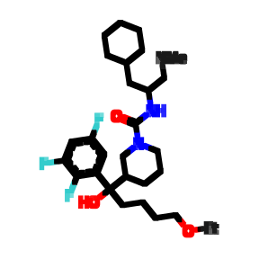 CCOCCCCC(O)(c1cc(F)cc(F)c1F)C1CCCN(C(=O)NC(CNC)CC2CCCCC2)C1